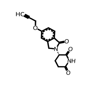 C#CCOc1ccc2c(c1)CN([C@H]1CCC(=O)NC1=O)C2=O